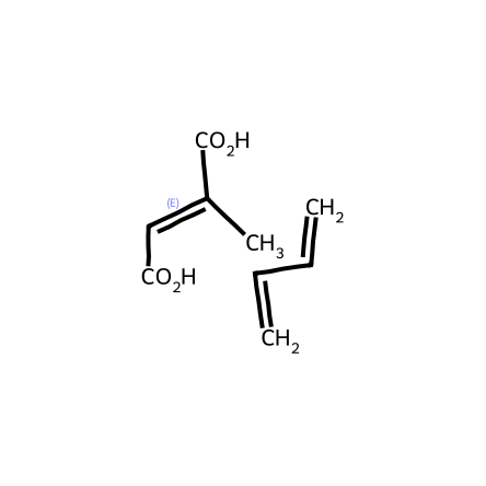 C/C(=C\C(=O)O)C(=O)O.C=CC=C